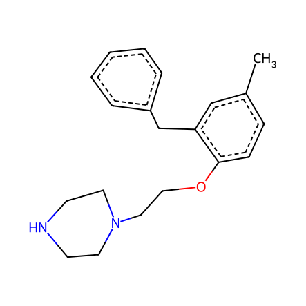 Cc1ccc(OCCN2CCNCC2)c(Cc2ccccc2)c1